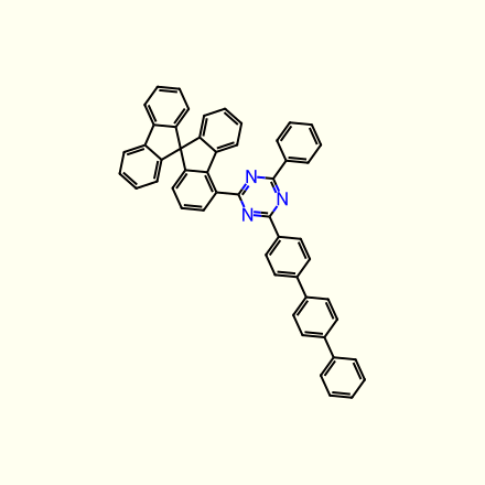 c1ccc(-c2ccc(-c3ccc(-c4nc(-c5ccccc5)nc(-c5cccc6c5-c5ccccc5C65c6ccccc6-c6ccccc65)n4)cc3)cc2)cc1